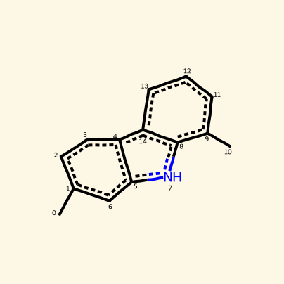 Cc1ccc2c(c1)[nH]c1c(C)cccc12